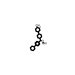 CC1CCC(C2CCC(C(OO)c3ccc(C4CCCCC4)cc3)CC2)CC1